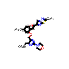 COCc1[nH]c(N2CCOCC2)nc1COc1cc(OC)cc2oc(-c3cn4nc(OC)sc4n3)cc12